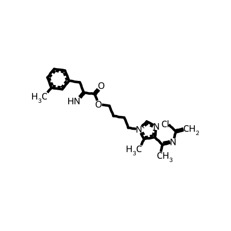 C=C(Cl)/N=C(/C)c1ncn(CCCCOC(=O)C(=N)Cc2cccc(C)c2)c1C